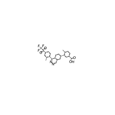 Cc1ccc(C(=O)O)cc1-c1ccc2c(-c3ccc(S(=O)(=O)C(F)(F)F)cc3C)nncc2c1